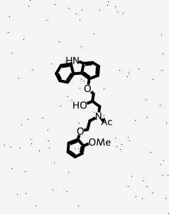 COc1ccccc1OCCN(CC(O)COc1cccc2[nH]c3ccccc3c12)C(C)=O